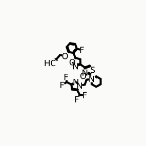 C#CCOc1cccc(F)c1C1CC(c2csc([N+]3(C(=O)Cn4nc(C(F)F)cc4C(F)F)CCCCC3)n2)=NO1